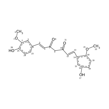 COc1cc(C=CC(=O)CC(=O)C=Cc2cc(O)ccc2OC)ccc1O